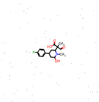 CN1C(O)CC(c2ccc(F)cc2)CC1C(C)(C=O)C(=O)O